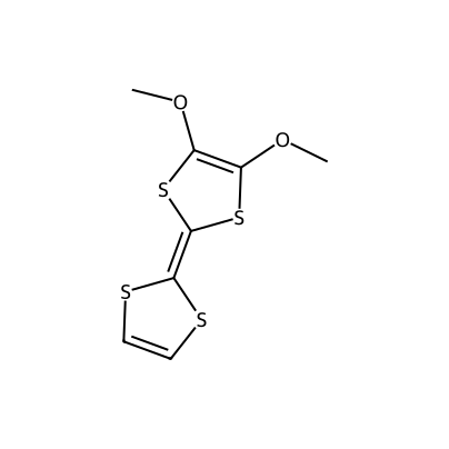 COC1=C(OC)SC(=C2SC=CS2)S1